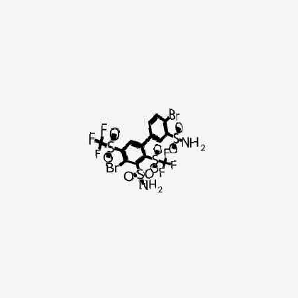 NS(=O)(=O)c1cc(-c2cc(S(=O)(=O)C(F)(F)F)c(Br)c(S(N)(=O)=O)c2S(=O)(=O)C(F)(F)F)ccc1Br